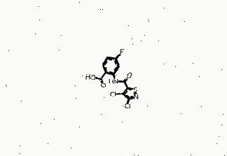 O=C(O)c1ccc(F)cc1NC(=O)c1snc(Cl)c1Cl